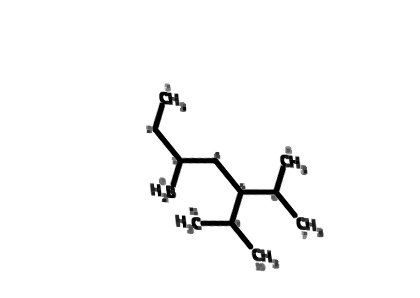 BC(CC)CC(C(C)C)C(C)C